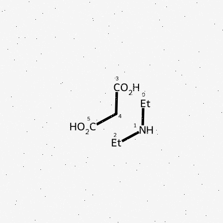 CCNCC.O=C(O)CC(=O)O